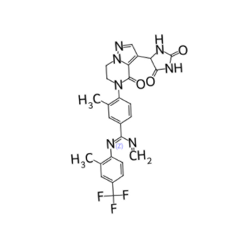 C=N/C(=N\c1ccc(C(F)(F)F)cc1C)c1ccc(N2CCn3ncc(C4NC(=O)NC4=O)c3C2=O)c(C)c1